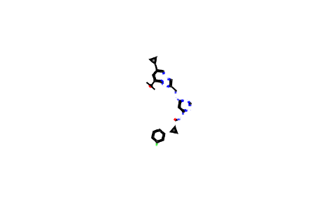 CC(C)(O)c1cc(C2CC2)cn2cc(CNc3cc(NC(=O)[C@H]4C[C@@H]4c4cccc(Cl)c4)ncn3)nc12